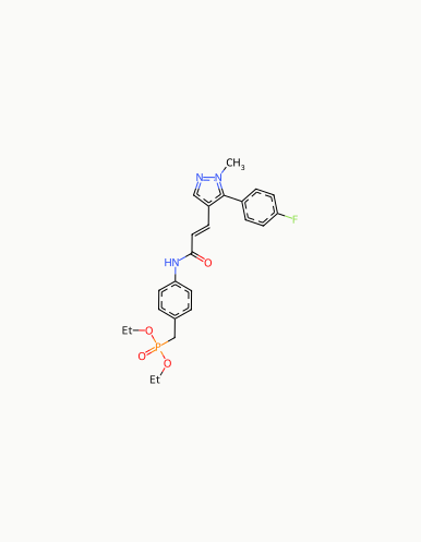 CCOP(=O)(Cc1ccc(NC(=O)/C=C/c2cnn(C)c2-c2ccc(F)cc2)cc1)OCC